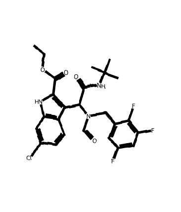 CCOC(=O)c1[nH]c2cc(Cl)ccc2c1C(C(=O)NC(C)(C)C)N(C=O)Cc1cc(F)cc(F)c1F